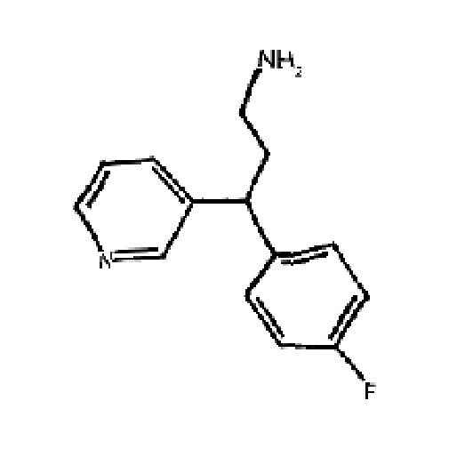 NCCC(c1ccc(F)cc1)c1cccnc1